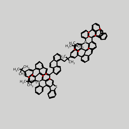 CC(C)(C)c1cc(-c2cccc3cccc(-c4ccccc4N(c4ccc(-c5cccc6c5ccc5cccc(CC(C)(C)c7cc(-c8cccc9cccc(-c%10ccccc%10N(c%10cccc(-c%11cccc%12ccccc%11%12)c%10)c%10ccccc%10-c%10cccc%11sc%12ccccc%12c%10%11)c89)cc(C(C)(C)C)c7)c56)cc4)c4ccccc4-c4cccc5sc6ccccc6c45)c23)cc(C(C)(C)C)c1